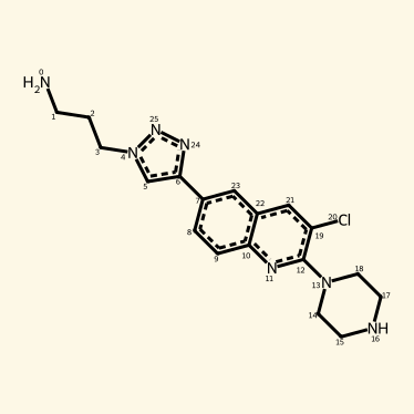 NCCCn1cc(-c2ccc3nc(N4CCNCC4)c(Cl)cc3c2)nn1